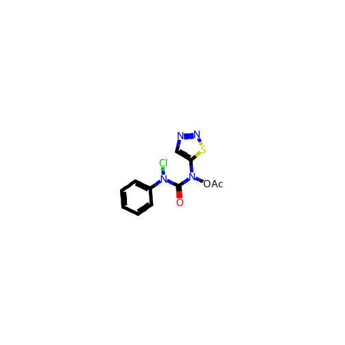 CC(=O)ON(C(=O)N(Cl)c1ccccc1)c1cnns1